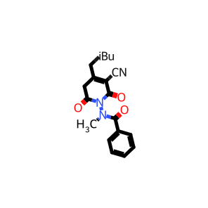 CCC(C)CC1=C(C#N)C(=O)N(N(C)C(=O)c2ccccc2)C(=O)C1